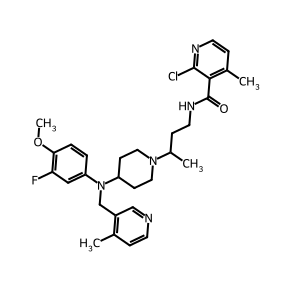 COc1ccc(N(Cc2cnccc2C)C2CCN(C(C)CCNC(=O)c3c(C)ccnc3Cl)CC2)cc1F